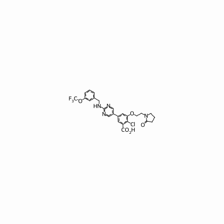 O=C(O)c1cc(-c2cnc(NCc3cccc(OC(F)(F)F)c3)nc2)cc(OCCN2CCCC2=O)c1Cl